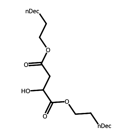 CCCCCCCCCCCCOC(=O)CC(O)C(=O)OCCCCCCCCCCCC